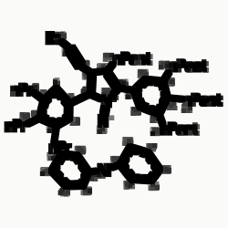 CCC#CC1=C(c2cc(CCC)c(CCC)c(CCC)c2)[N+](=[N-])C(c2cc(CCCCC)c(CCCCC)c(CCCCC)c2)=C1CCCCC.c1cc[c]([Ni][c]2ccccc2)cc1